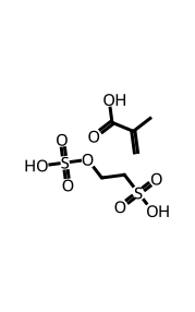 C=C(C)C(=O)O.O=S(=O)(O)CCOS(=O)(=O)O